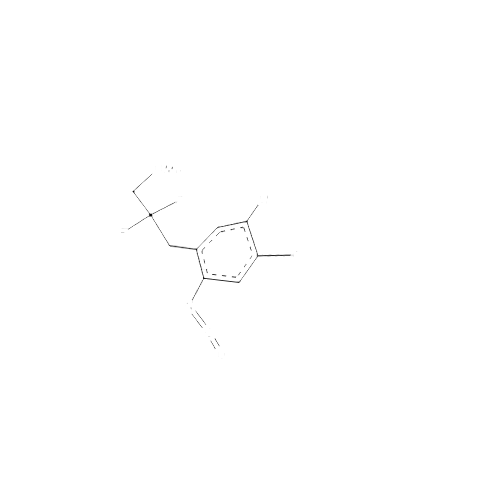 COCC(F)(F)Cc1cc(Cl)c(Cl)cc1N=C=O